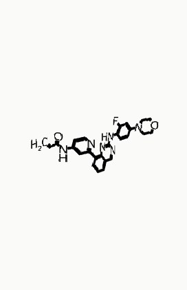 C=CC(=O)Nc1ccnc(-c2cccc3cnc(Nc4ccc(N5CCOCC5)cc4F)nc23)c1